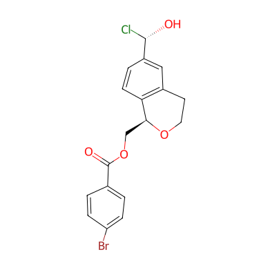 O=C(OC[C@@H]1OCCc2cc([C@@H](O)Cl)ccc21)c1ccc(Br)cc1